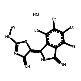 CCc1c(CC)c(CC)c2c(c1CC)C(=N)N/C2=C1/SC(NC(C)C)=NC1=N.Cl